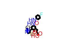 Cn1ncc(Br)c1-c1cc(NC(=O)Nc2ccc(F)cc2)cc2cc(C(=O)O)oc12